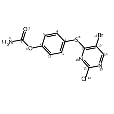 NC(=O)Oc1ccc(Sc2nc(Cl)ncc2Br)cc1